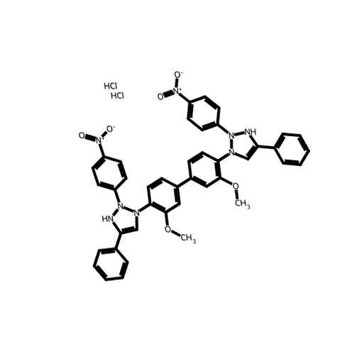 COc1cc(-c2ccc(N3C=C(c4ccccc4)NN3c3ccc([N+](=O)[O-])cc3)c(OC)c2)ccc1N1C=C(c2ccccc2)NN1c1ccc([N+](=O)[O-])cc1.Cl.Cl